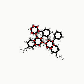 Nc1ccc2c(-c3ccccc3)c(-c3cccc(-c4ccccc4)c3-c3c(-c4ccccc4)cc4cc(N)ccc4c3-c3ccccc3)c(-c3ccccc3)cc2c1